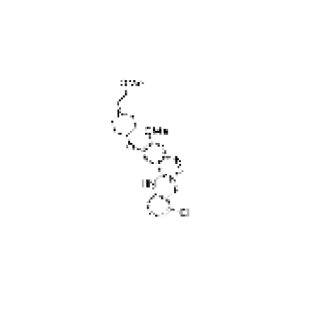 COCCN1CCC(Oc2cc3c(Nc4cccc(Cl)c4F)ncnc3cc2OC)CC1